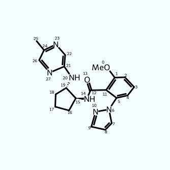 COc1cccc(-n2cccn2)c1C(=O)N[C@H]1CCC[C@@H]1Nc1cnc(C)cn1